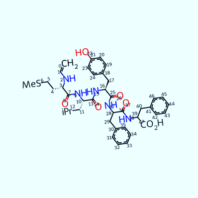 C=CN[C@@H](CCSC)C(=O)N[C@@H](CC(C)C)C(=O)N[C@@H](Cc1ccc(O)cc1)C(=O)NC(Cc1ccccc1)C(=O)NC(Cc1ccccc1)C(=O)O